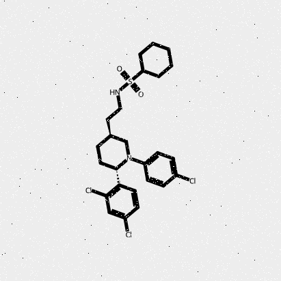 O=S(=O)(NCC[C@@H]1CC[C@@H](c2ccc(Cl)cc2Cl)N(c2ccc(Cl)cc2)C1)C1CCCCC1